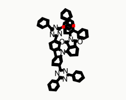 O=C1c2cccc(-n3c4cc(-c5nc(-c6ccccc6)nc(-c6ccccc6)n5)ccc4c4ccc(-c5nc(-c6ccccc6)nc(-c6ccccc6)n5)cc43)c2C(=O)N1c1ccc(-c2ccccc2)cc1-c1ccccc1